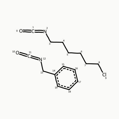 O=C=NCCCCCCCl.O=C=NCc1ccccc1